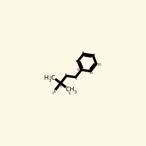 CC(C)(I)CCc1ccccc1